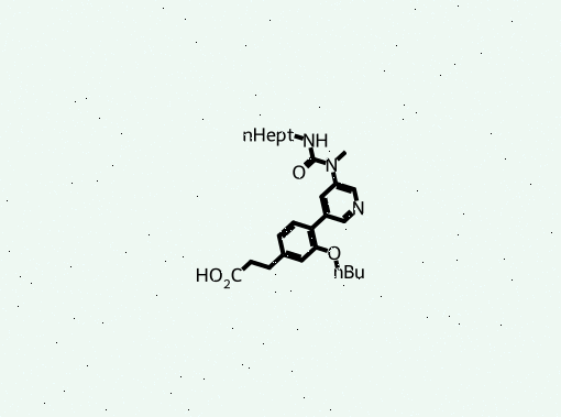 CCCCCCCNC(=O)N(C)c1cncc(-c2ccc(CCC(=O)O)cc2OCCCC)c1